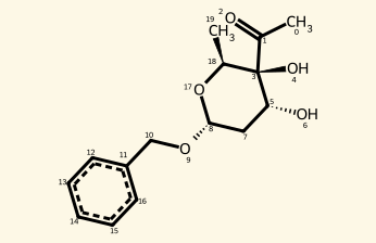 CC(=O)[C@]1(O)[C@H](O)C[C@H](OCc2ccccc2)O[C@H]1C